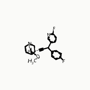 CO[C@]1(C#CC(c2ccc(F)cc2)c2ccc(F)nc2)CN2CCC1CC2